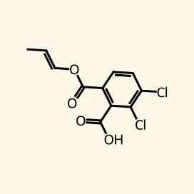 CC=COC(=O)c1ccc(Cl)c(Cl)c1C(=O)O